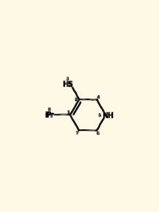 CC(C)C1=C(S)CNCC1